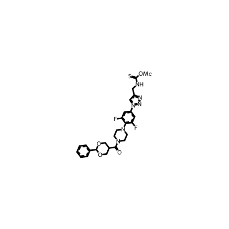 COC(=S)NCc1cn(-c2cc(F)c(N3CCN(C(=O)C4COC(c5ccccc5)OC4)CC3)c(F)c2)nn1